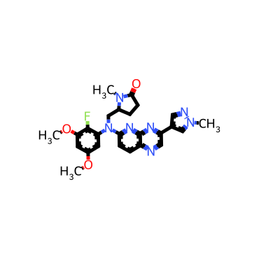 COc1cc(OC)c(F)c(N(CC2CCC(=O)N2C)c2ccc3ncc(-c4cnn(C)c4)nc3n2)c1